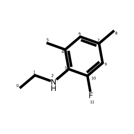 CCNc1c(C)cc(C)cc1F